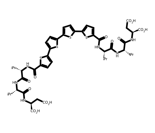 CC(C)[C@H](NC(=O)c1ccc(-c2ccc(-c3ccc(-c4ccc(C(=O)N[C@H](C(=O)N[C@H](C(=O)N[C@@H](CC(=O)O)C(=O)O)C(C)C)C(C)C)s4)s3)s2)s1)C(=O)N[C@H](C(=O)N[C@@H](CC(=O)O)C(=O)O)C(C)C